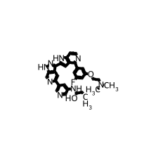 CCC(O)Nc1cncc(-c2cc3c(-c4cc5c(-c6cc(F)cc(OCCN(C)C)c6)nccc5[nH]4)n[nH]c3cn2)c1